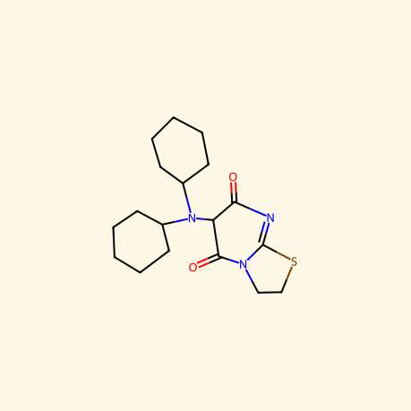 O=C1N=C2SCCN2C(=O)C1N(C1CCCCC1)C1CCCCC1